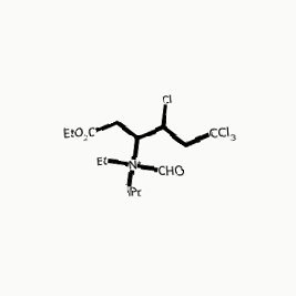 CCOC(=O)CC(C(Cl)CC(Cl)(Cl)Cl)[N+](C=O)(CC)C(C)C